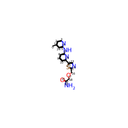 Cc1ccnc(Nc2cccc(-c3cnc(COCC(N)=O)s3)n2)c1